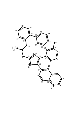 BN(Cc1nc(-c2cccc(C)n2)c(-c2ccc3ncccc3n2)[nH]1)Cc1ccccc1-c1ccccc1